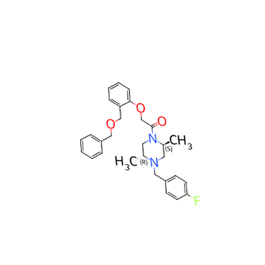 C[C@@H]1CN(C(=O)COc2ccccc2COCc2ccccc2)[C@@H](C)CN1Cc1ccc(F)cc1